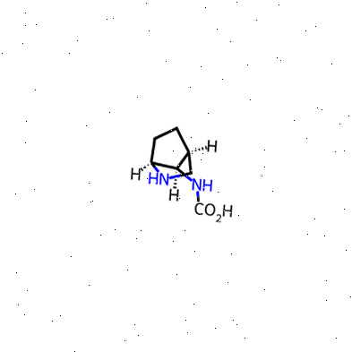 O=C(O)N[C@@H]1[C@H]2CC[C@@H]1NC2